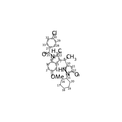 COc1ccc2c(c1)c(C(C)c1cc(=O)n(C3CCCCC3)[nH]1)c(C)n2C(=O)c1ccc(Cl)cc1